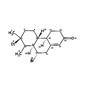 CC[C@@]1(C)CC[C@H]2[C@H](C1C)[C@@H](Br)CC1=CC(=O)CC[C@@H]12